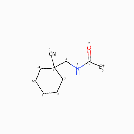 CCC(=O)NCC1(C#N)CCCCC1